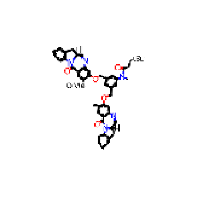 COc1cc2c(cc1OCc1cc(COc3cc4c(cc3C)C(=O)N3c5ccccc5C[C@H]3C=N4)cc(N(C)C(=O)CCC(C)(C)C)c1)N=C[C@@H]1Cc3ccccc3N1C2=O